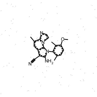 COc1ccc(C)c(-n2c(N)c(C#N)c3cc(C)c4nccn4c32)c1C